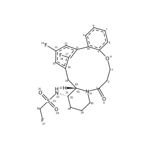 O=C1CCOc2ccccc2-c2cc(F)cc(c2F)C[C@H]2[C@@H](NS(=O)(=O)CF)CCCN12